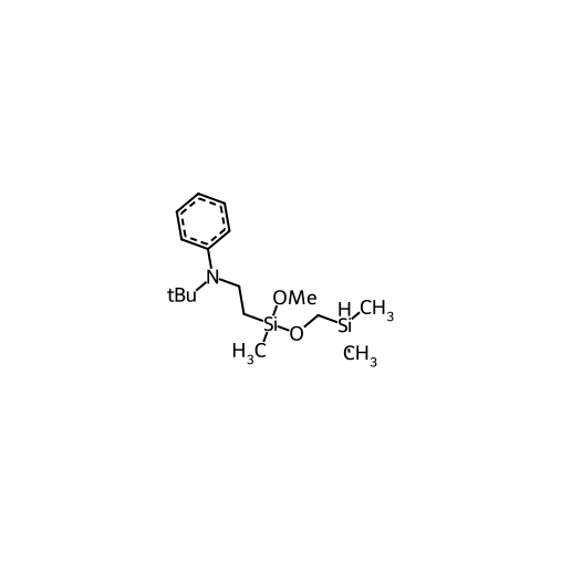 CO[Si](C)(CCN(c1ccccc1)C(C)(C)C)OC[SiH](C)C